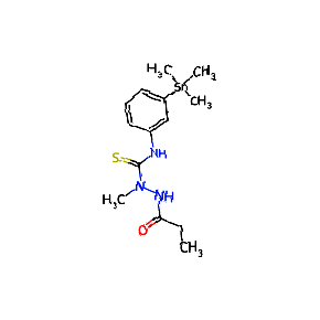 CCC(=O)NN(C)C(=S)Nc1ccc[c]([Sn]([CH3])([CH3])[CH3])c1